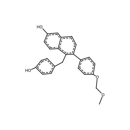 COCOc1ccc(-c2ccc3cc(O)ccc3c2Cc2ccc(O)cc2)cc1